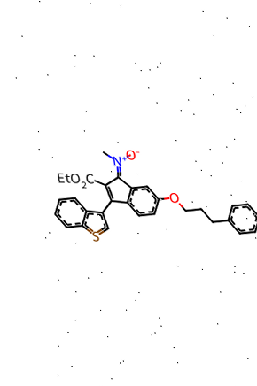 CCOC(=O)C1=C(c2csc3ccccc23)c2ccc(OCCCc3ccccc3)cc2/C1=[N+](/C)[O-]